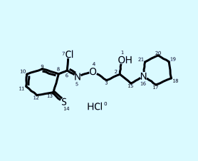 Cl.OC(CON=C(Cl)C1=CC=CCC1=S)CN1CCCCC1